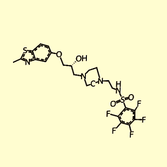 Cc1nc2cc(OC[C@H](O)CN3CCN(CCNS(=O)(=O)c4c(F)c(F)c(F)c(F)c4F)CC3)ccc2s1